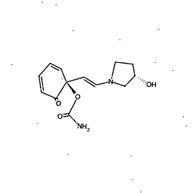 NC(=O)O[C@]1(C=CN2CC[C@H](O)C2)C=CC=CC1=O